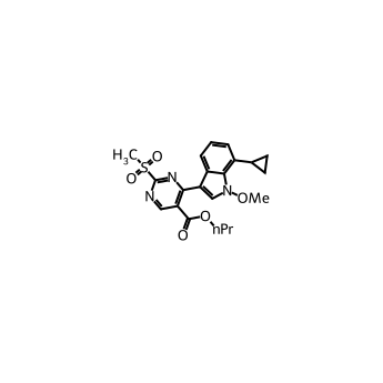 CCCOC(=O)c1cnc(S(C)(=O)=O)nc1-c1cn(OC)c2c(C3CC3)cccc12